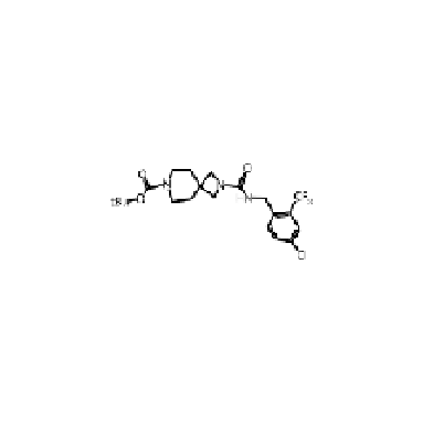 CC(C)(C)OC(=O)N1CCC2(CC1)CN(C(=O)NCc1ccc(Cl)cc1C(F)(F)F)C2